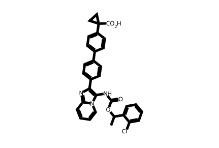 CC(OC(=O)Nc1c(-c2ccc(-c3ccc(C4(C(=O)O)CC4)cc3)cc2)nc2ccccn12)c1ccccc1Cl